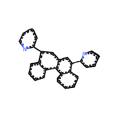 c1ccc(-c2cc3cc(-c4ccccn4)c4ccccc4c3c3ccccc23)nc1